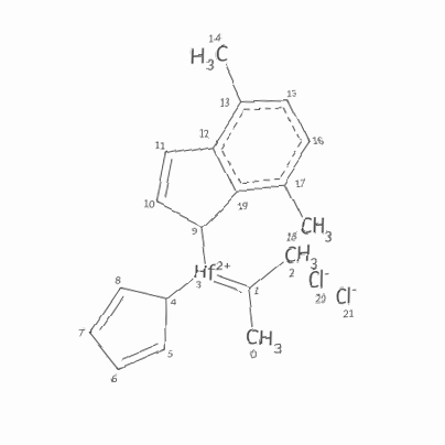 C[C](C)=[Hf+2]([CH]1C=CC=C1)[CH]1C=Cc2c(C)ccc(C)c21.[Cl-].[Cl-]